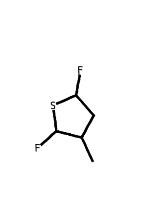 CC1CC(F)SC1F